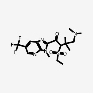 CCS(=O)(=O)C(C(=O)c1nc2cc(C(F)(F)F)cnc2n1C)C(C)(C)CN(C)C